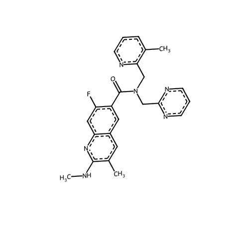 CNc1nc2cc(F)c(C(=O)N(Cc3ncccn3)Cc3ncccc3C)cc2cc1C